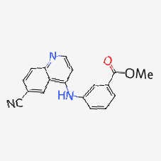 COC(=O)c1cccc(Nc2ccnc3ccc(C#N)cc23)c1